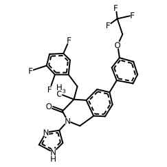 CC1(Cc2cc(F)cc(F)c2F)C(=O)N(c2c[nH]cn2)Cc2ccc(-c3cccc(OCC(F)(F)F)c3)cc21